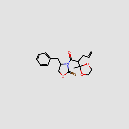 C=CCC(C(=O)N1C(=S)OCC1Cc1ccccc1)C1(C)OCCO1